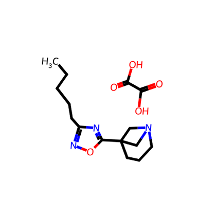 CCCCCc1noc(C23CCCN(C2)C3)n1.O=C(O)C(=O)O